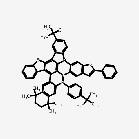 CC(C)(C)c1ccc(N2B3c4cc5cc(-c6ccccc6)sc5cc4-n4c5ccc(C(C)(C)C)cc5c5c6sc7ccccc7c6c(c3c54)-c3cc4c(cc32)C(C)(C)CCC4(C)C)cc1